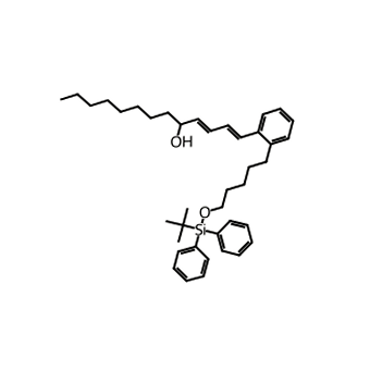 CCCCCCCCC(O)/C=C/C=C/c1ccccc1CCCCCO[Si](c1ccccc1)(c1ccccc1)C(C)(C)C